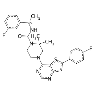 C[C@H](NC(=O)N1CCN(c2ncnc3cc(-c4ccc(F)cc4)sc23)CC1(C)C)c1cccc(F)c1